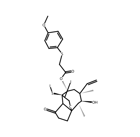 C=C[C@]1(C)C[C@@H](OC(=O)CSc2ccc(OC)cc2)[C@]2(SI)C(I)CCC3(CCC(=O)C32)[C@@H](C)[C@@H]1O